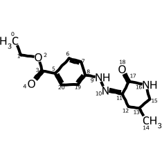 CCOC(=O)c1ccc(N/N=C2/CC(C)CNC2=O)cc1